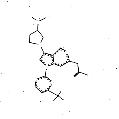 CN(C)C1CCN(c2cn(-c3nccc(C(C)(F)F)n3)c3cc(CC(N)=O)ncc23)C1